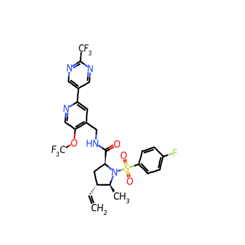 C=C[C@@H]1C[C@@H](C(=O)NCc2cc(-c3cnc(C(F)(F)F)nc3)ncc2OC(F)(F)F)N(S(=O)(=O)c2ccc(F)cc2)[C@H]1C